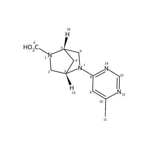 O=C(O)N1C[C@@H]2C[C@H]1CN2c1cc(I)ncn1